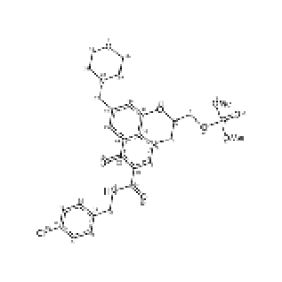 COP(=O)(OC)OCC1Cn2cc(C(=O)NCc3ccc(Cl)cc3)c(=O)c3cc(CN4CCOCC4)cc(c32)O1